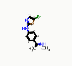 C=C(NC)c1ccc(Nc2ncc(Br)s2)cc1